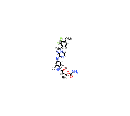 CCc1cc(Nc2nccn3c(-c4ccc(OC)c(F)c4F)cnc23)ccc1NC(=O)CC(OC(N)=O)C(C)(C)C